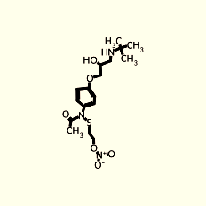 CC(=O)N(SCCO[N+](=O)[O-])c1ccc(OCC(O)CNC(C)(C)C)cc1